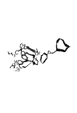 CC[C@]1(C(=O)O)CC[C@@H](c2ccc(OCc3ccccc3)cc2)N1C(=O)OC(C)(C)C